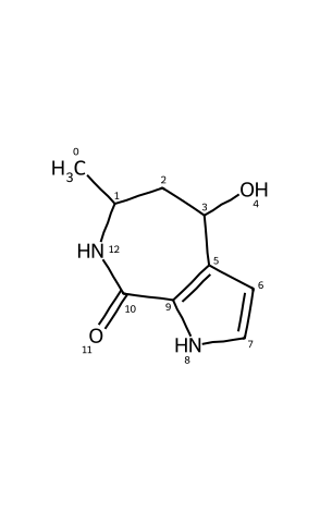 CC1CC(O)c2cc[nH]c2C(=O)N1